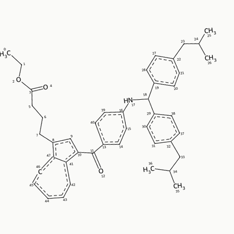 CCOC(=O)CCCc1cc(C(=O)c2ccc(NC(c3ccc(CC(C)C)cc3)c3ccc(CC(C)C)cc3)cc2)c2cccccc1-2